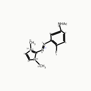 CC(=O)Nc1ccc(F)c(/N=N/c2n(C)cc[n+]2C)c1